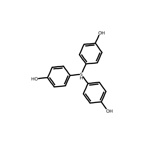 Oc1ccc([SH](c2ccc(O)cc2)c2ccc(O)cc2)cc1